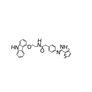 N/C(=N\c1ccc(CC(=O)NCCOc2cccc3[nH]c4ccccc4c23)cc1)c1cccs1